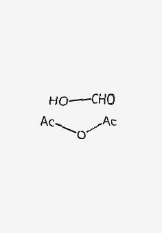 CC(=O)OC(C)=O.O=CO